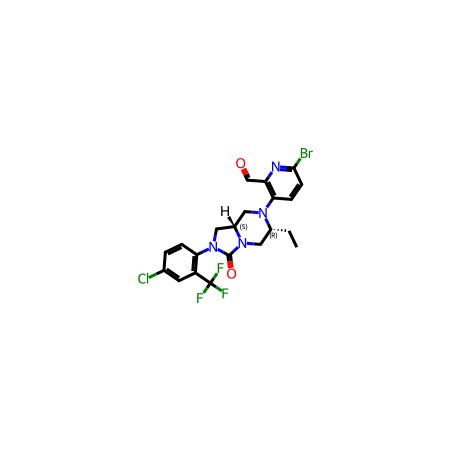 CC[C@@H]1CN2C(=O)N(c3ccc(Cl)cc3C(F)(F)F)C[C@@H]2CN1c1ccc(Br)nc1C=O